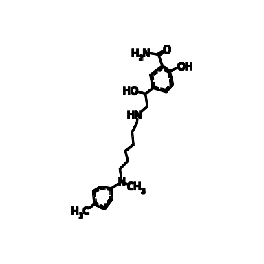 Cc1ccc(N(C)CCCCCCNCC(O)c2ccc(O)c(C(N)=O)c2)cc1